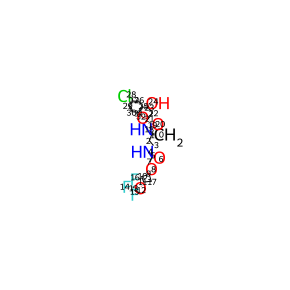 C=C(CCNC(=O)CO[C@H]1C[C@@H](OC(F)(F)F)C1)NC(=O)[C@H]1C[C@@H](O)c2cc(Cl)ccc2O1